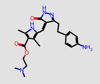 Cc1[nH]c(C=C2C(=O)NN=C2CCc2ccc(N)cc2)c(C)c1C(=O)OCCN(C)C